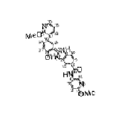 COc1ccc(NC(=O)c2ccc3[nH]c(-c4cc(-c5cccnc5OC)ccc4O)nc3c2)cn1